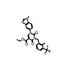 CCOC(=O)c1cn(-c2ccc3c(c2)ncn3C)c(=O)n(Cc2cccc(C(F)(F)F)c2C)c1=O